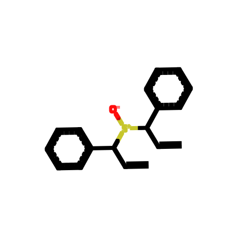 C=CC(c1ccccc1)[S+]([O-])C(C=C)c1ccccc1